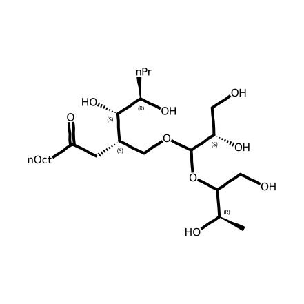 CCCCCCCCC(=O)C[C@@H](COC(OC(CO)[C@@H](C)O)[C@@H](O)CO)[C@H](O)[C@H](O)CCC